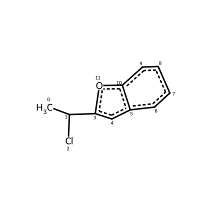 CC(Cl)c1cc2ccccc2o1